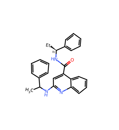 CC[C@H](NC(=O)c1cc(NC(C)c2ccccc2)nc2ccccc12)c1ccccc1